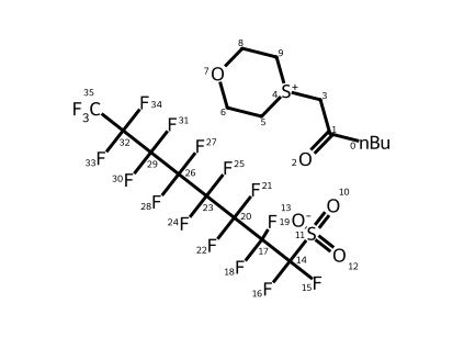 CCCCC(=O)C[S+]1CCOCC1.O=S(=O)([O-])C(F)(F)C(F)(F)C(F)(F)C(F)(F)C(F)(F)C(F)(F)C(F)(F)C(F)(F)F